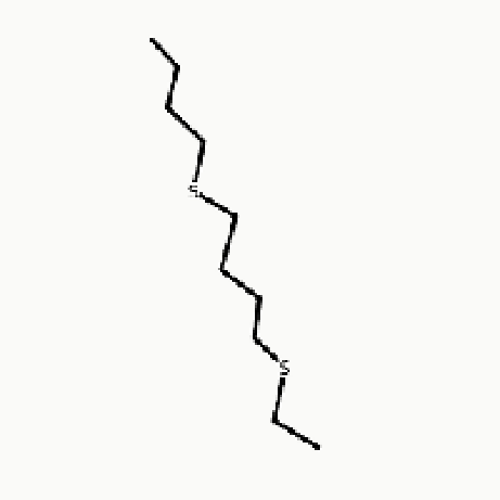 CCCCSCCCCSCC